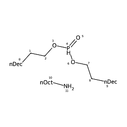 CCCCCCCCCCCCO[PH](=O)OCCCCCCCCCCCC.CCCCCCCCN